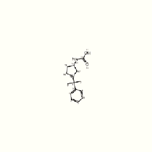 CC(C)(c1ccccc1)N1CCC(NC(=O)O)C1